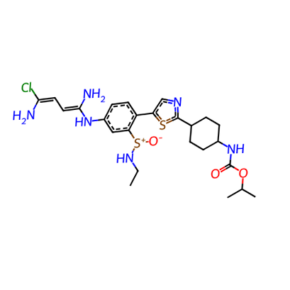 CCN[S+]([O-])c1cc(N/C(N)=C/C=C(\N)Cl)ccc1-c1cnc(C2CCC(NC(=O)OC(C)C)CC2)s1